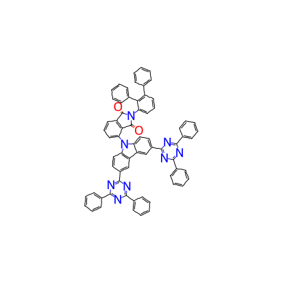 O=C1c2cccc(-n3c4ccc(-c5nc(-c6ccccc6)nc(-c6ccccc6)n5)cc4c4cc(-c5nc(-c6ccccc6)nc(-c6ccccc6)n5)ccc43)c2C(=O)N1c1cccc(-c2ccccc2)c1-c1ccccc1